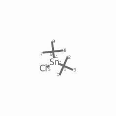 C[C](C)(C)[Sn]([Cl])[C](C)(C)C